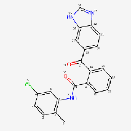 Cc1ccc(Cl)cc1NC(=O)c1ccccc1C(=O)c1ccc2n[c][nH]c2c1